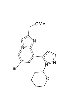 COCc1cn2cc(Br)cc(-c3ccnn3C3CCCCO3)c2n1